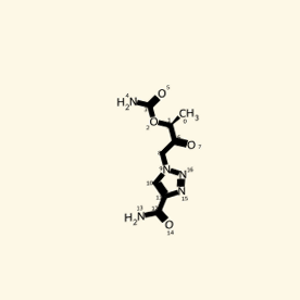 C[C@H](OC(N)=O)C(=O)Cn1cc(C(N)=O)nn1